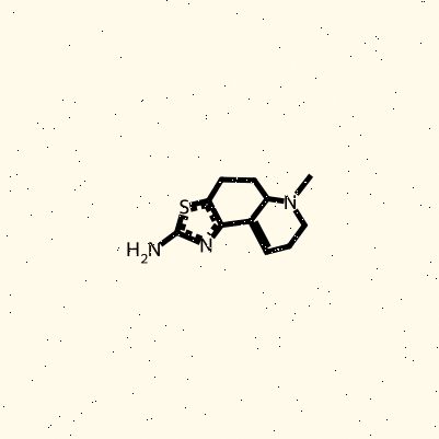 CN1CCC=C2c3nc(N)sc3CCC21